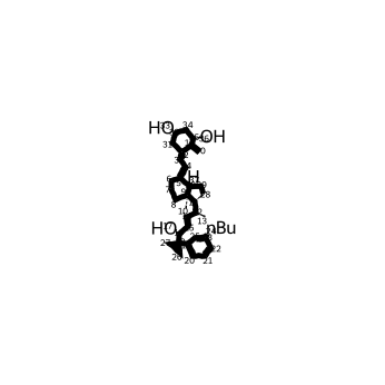 C=C1/C(=C\C=C2/CCC[C@]3(C)[C@@H]([C@H](C)/C=C/[C@@H](O)C4(c5cccc(CCCC)c5)CC4)CC[C@@H]23)C[C@@H](O)C[C@@H]1O